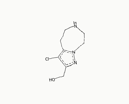 OCc1nn2c(c1Cl)CCNCC2